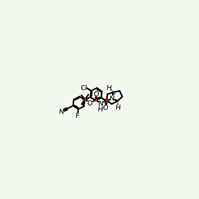 CC(C)(C)OC(=O)N[C@H]1C[C@H]2CC[C@@H](C1)N2C(=O)c1ccc(Cl)c(-c2ccc(C#N)c(F)c2)c1